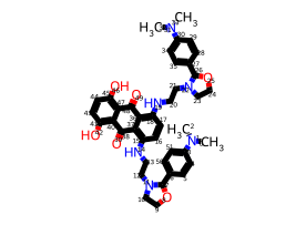 CN(C)c1ccc(C2OCCN2CCNc2ccc(NCCN3CCOC3c3ccc(N(C)C)cc3)c3c2C(=O)c2c(O)ccc(O)c2C3=O)cc1